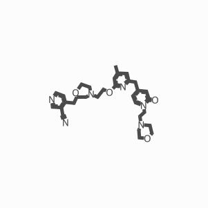 Cc1cc(Cc2ccn(CCN3CCOCC3)c(=O)c2)nc(OCCN2CCOC(Cc3ccncc3C#N)C2)c1